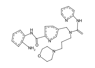 C=C(Nc1ccccn1)N(CCCN1CCOCC1)Cc1ccc(C(=O)Nc2ccccc2N)nc1